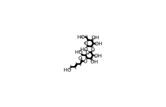 O=C(CC=CCO)O[C@@H]1C(CO)O[C@@H](O[C@H]2C(O)[C@H](O)C(CO)O[C@H]2O)[C@@H](O)C1O